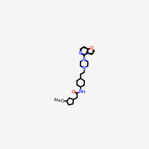 COC1CCC(CC(=O)NC2CCC(CCN3CCN(c4nccc5occc45)CC3)CC2)C1